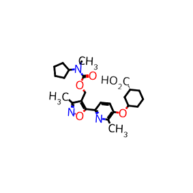 Cc1nc(-c2onc(C)c2COC(=O)N(C)C2CCCC2)ccc1OC1CCC[C@@H](C(=O)O)C1